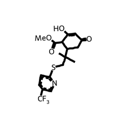 COC(=O)C1C(O)=CC(=O)CC1C(C)(C)CSc1ccc(C(F)(F)F)cn1